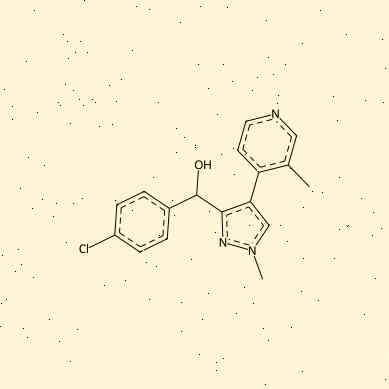 Cc1cnccc1-c1cn(C)nc1C(O)c1ccc(Cl)cc1